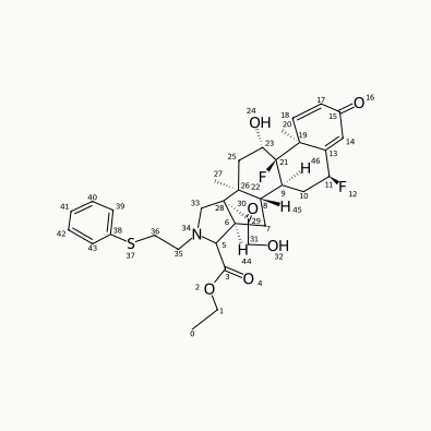 CCOC(=O)C1[C@@H]2C[C@H]3[C@@H]4C[C@H](F)C5=CC(=O)C=C[C@]5(C)[C@@]4(F)[C@@H](O)C[C@]3(C)[C@]2(C(=O)CO)CN1CCSc1ccccc1